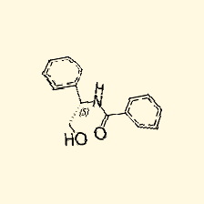 O=C(N[C@H](CO)c1ccccc1)c1ccccc1